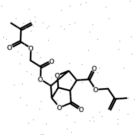 C=C(C)COC(=O)C1C2OC3C(OC(=O)C31)C2OC(=O)COC(=O)C(=C)C